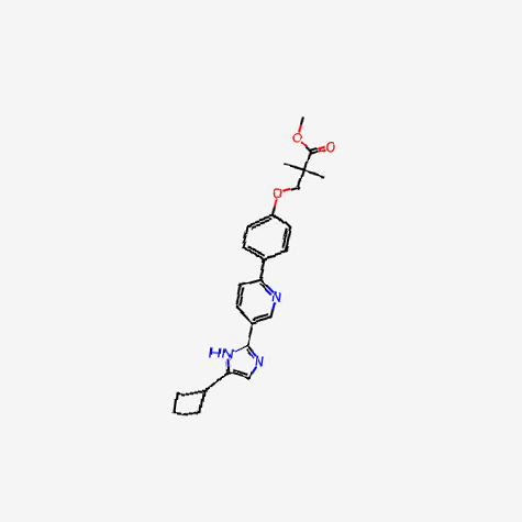 COC(=O)C(C)(C)COc1ccc(-c2ccc(-c3ncc(C4CCC4)[nH]3)cn2)cc1